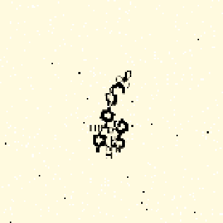 Cc1ccc(NC(=O)c2ccc(N3CCN(Cc4oc(=O)oc4C)CC3)cc2)cc1Nc1nccc(-c2cccnc2)n1